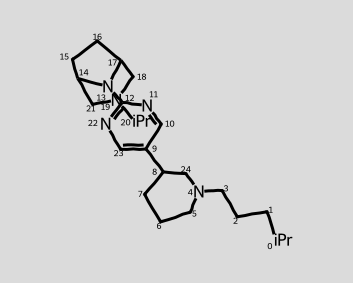 CC(C)CCCN1CCCC(c2cnc(N3C4CCC3CN(C(C)C)C4)nc2)C1